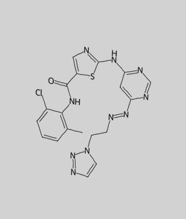 Cc1cccc(Cl)c1NC(=O)c1cnc(Nc2cc(N=NCCn3ccnn3)ncn2)s1